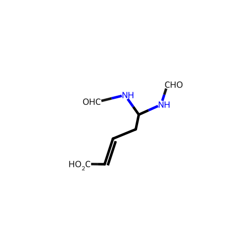 O=CNC(CC=CC(=O)O)NC=O